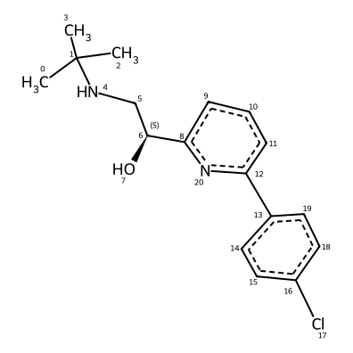 CC(C)(C)NC[C@H](O)c1cccc(-c2ccc(Cl)cc2)n1